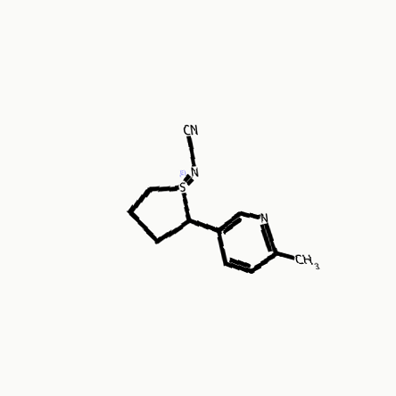 Cc1ccc(C2CCC/S2=N\C#N)cn1